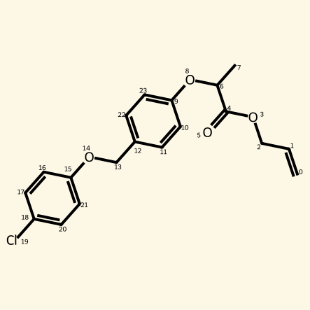 C=CCOC(=O)C(C)Oc1ccc(COc2ccc(Cl)cc2)cc1